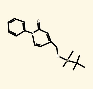 CC(C)(C)[Si](C)(C)OCc1ccn(-c2ccccc2)c(=O)c1